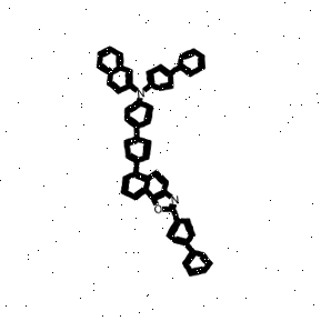 c1ccc(-c2ccc(-c3nc4ccc5c(-c6ccc(-c7ccc(N(c8ccc(-c9ccccc9)cc8)c8ccc9ccccc9c8)cc7)cc6)cccc5c4o3)cc2)cc1